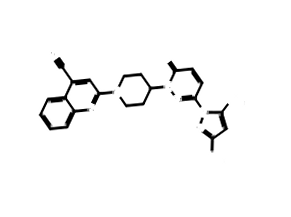 Cc1cc(C)n(-c2ccc(=O)n(C3CCN(c4cc(C#N)c5ccccc5n4)CC3)n2)n1